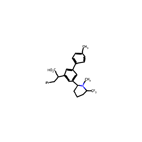 Cc1ccc(-c2cc(C(CC(C)C)C(=O)O)cc(C3CCCC(C(F)(F)F)N3C)c2)cc1